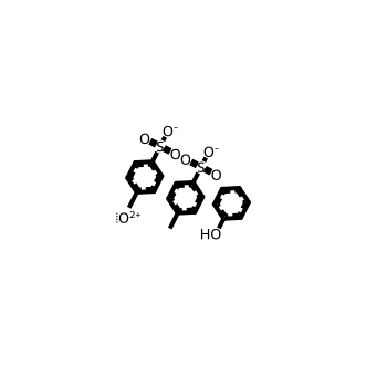 Cc1ccc(S(=O)(=O)[O-])cc1.Cc1ccc(S(=O)(=O)[O-])cc1.Oc1ccccc1.[O+2]